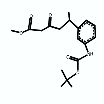 COC(=O)CC(=O)CC(C)c1cccc(NC(=O)OC(C)(C)C)c1